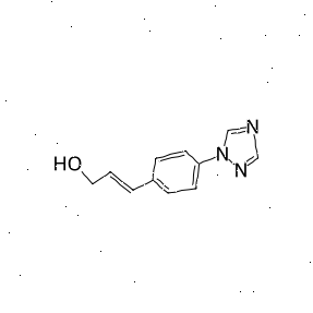 OCC=Cc1ccc(-n2cncn2)cc1